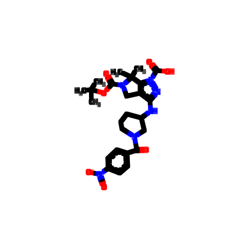 CC(C)(C)OC(=O)N1Cc2c(NC3CCCN(C(=O)c4ccc([N+](=O)[O-])cc4)C3)nn(C(=O)O)c2C1(C)C